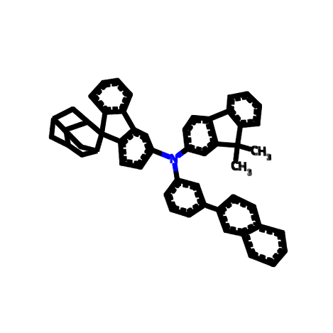 CC1(C)c2ccccc2-c2ccc(N(c3cccc(-c4ccc5ccccc5c4)c3)c3ccc4c(c3)-c3ccccc3C43C4CC5CC(C4)CC3C5)cc21